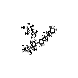 O=C(O)C(F)(F)F.O=C(O)C(F)(F)F.O=S(=O)(CC(F)(F)F)Nc1cncc(-c2ccc3nc(-c4nc5ccccc5[nH]4)oc3c2)c1